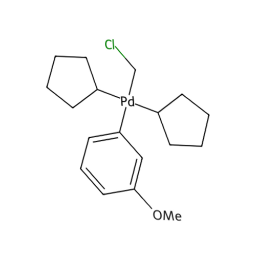 COc1ccc[c]([Pd]([CH2]Cl)([CH]2CCCC2)[CH]2CCCC2)c1